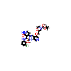 COc1c(Cl)cccc1NC(=S)C1=C(NCc2ccncc2OC[C@@H]2CN(C(=O)OC(C)(C)C)CCO2)CCNC1=O